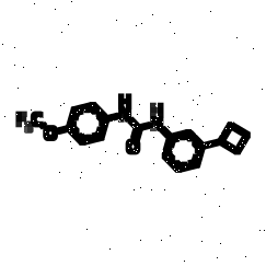 O=C(Nc1ccc(OC(F)(F)F)cc1)Nc1cccc(C2CCC2)c1